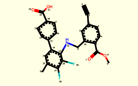 C#Cc1ccc(C(=O)OC)c(CNc2c(-c3ccc(C(=O)O)cc3)cc(C)c(F)c2F)c1